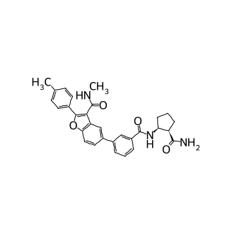 CNC(=O)c1c(-c2ccc(C)cc2)oc2ccc(-c3cccc(C(=O)N[C@H]4CCC[C@H]4C(N)=O)c3)cc12